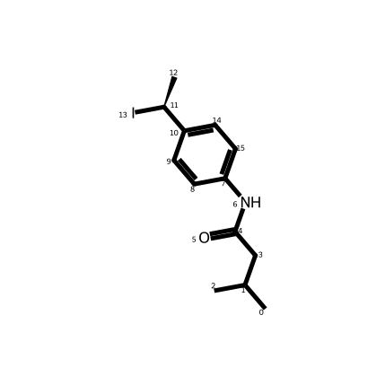 CC(C)CC(=O)Nc1ccc([C@H](C)I)cc1